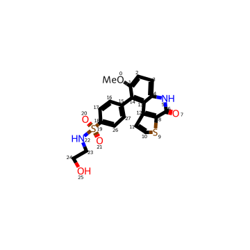 COc1ccc2[nH]c(=O)c3sccc3c2c1-c1ccc(S(=O)(=O)NCCO)cc1